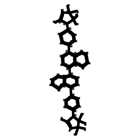 CC1=NC(C)(C)C(C)(C)N1c1ccc(-c2ccc(-c3ccc(-c4ccc(N5C(C)=NC(C)(C)C5(C)C)cc4)c4ccccc34)c3ccccc23)cc1